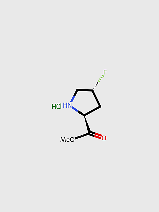 COC(=O)[C@@H]1C[C@@H](F)CN1.Cl